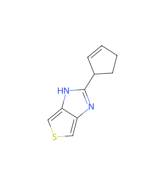 C1=CC(c2nc3cscc3[nH]2)CC1